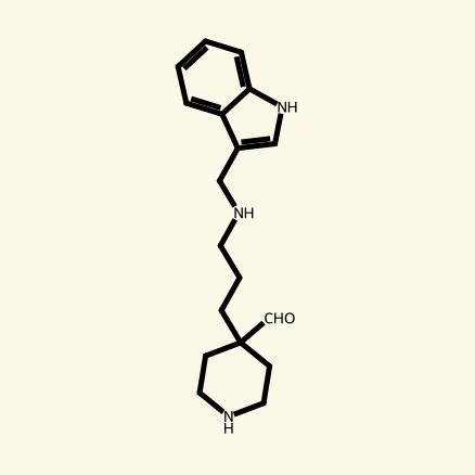 O=CC1(CCCNCc2c[nH]c3ccccc23)CCNCC1